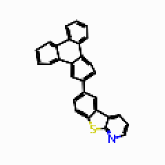 c1cnc2sc3ccc(-c4ccc5c6ccccc6c6ccccc6c5c4)cc3c2c1